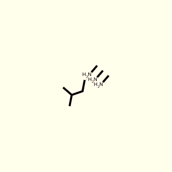 CN.CN.CN.[CH2]CC(C)C